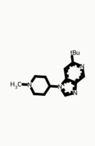 CN1CCC(n2cnc3cnc(C(C)(C)C)cc32)CC1